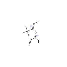 C=C/C(F)=C\C(=C/C)C(C)(C)C